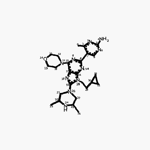 Cc1nc(N)ncc1-c1nc(N2CCOCC2)c2nc(N3CC(C)NC(C)C3)n(CC3CC3)c2n1